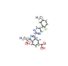 Cc1ccc(F)c(-c2cnc(-n3nc(C(C)O)c4ccc(C(=O)O)cc43)nc2)c1